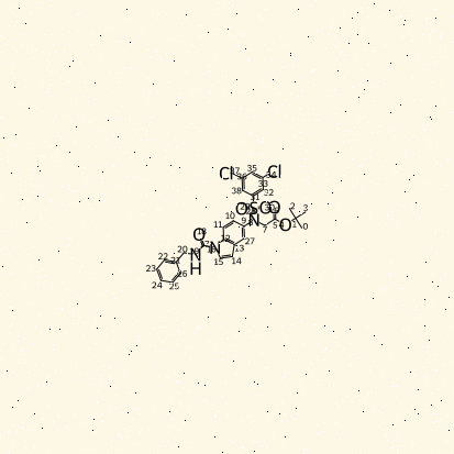 CC(C)(C)OC(=O)CN(c1ccc2c(ccn2C(=O)NCc2ccccc2)c1)S(=O)(=O)c1cc(Cl)cc(Cl)c1